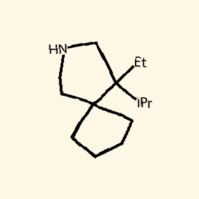 CCC1(C(C)C)CNCC12CCCC2